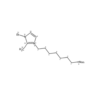 CCCCCCCCCCCCCCCC[n+]1ccn(CC)c1C